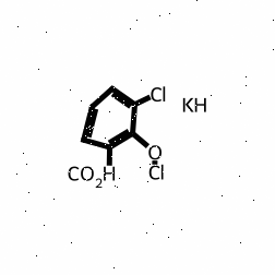 O=C(O)c1cccc(Cl)c1OCl.[KH]